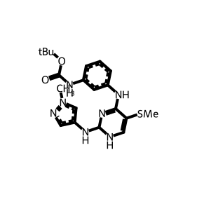 CSC1=CNC(Nc2cnn(C)c2)N=C1Nc1cccc(NC(=O)OC(C)(C)C)c1